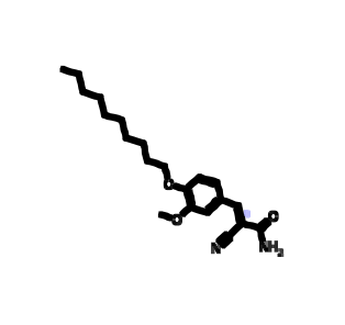 CCCCCCCCCCOc1ccc(/C=C(\C#N)C(N)=O)cc1OC